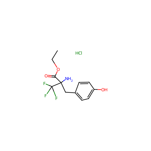 CCOC(=O)C(N)(Cc1ccc(O)cc1)C(F)(F)F.Cl